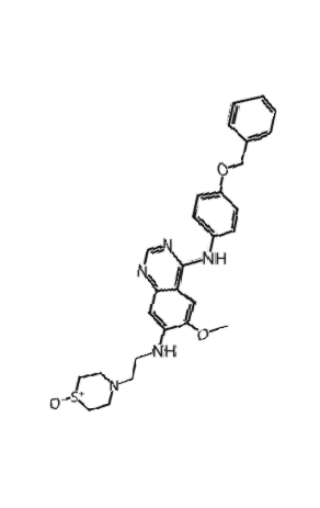 COc1cc2c(Nc3ccc(OCc4ccccc4)cc3)ncnc2cc1NCCN1CC[S+]([O-])CC1